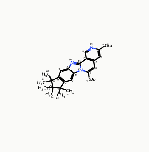 CC(C)(C)c1cc2cc(C(C)(C)C)n3c4cc5c(cc4nc3c2cn1)C(C)(C)C(C)(C)C5(C)C